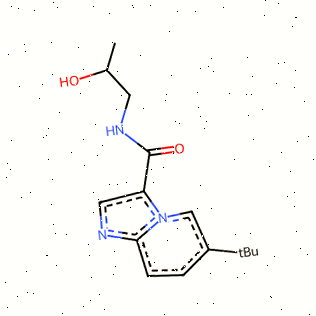 CC(O)CNC(=O)c1cnc2ccc(C(C)(C)C)cn12